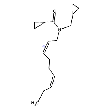 CC/C=C\CC/C=C\CN(CC1CC1)C(=O)C1CC1